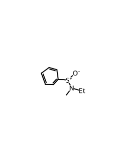 CCN(C)[S+]([O-])c1ccccc1